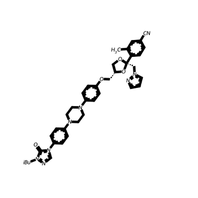 CCC(C)n1ncn(-c2ccc(N3CCN(c4ccc(OC[C@@H]5CO[C@@](Cn6cccn6)(c6ccc(C#N)cc6C)O5)cc4)CC3)cc2)c1=O